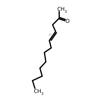 CCCCCCC/C=C/CC(C)=O